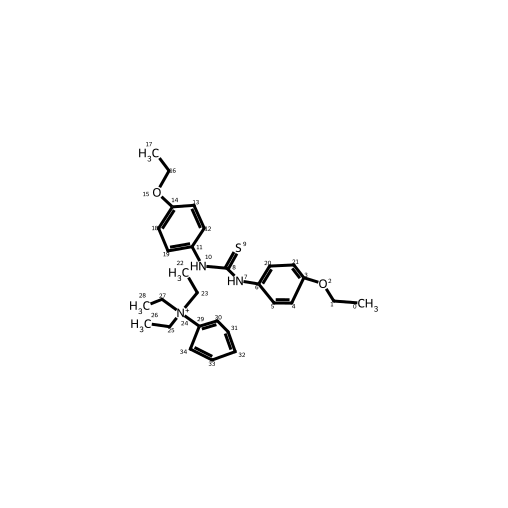 CCOc1ccc(NC(=S)Nc2ccc(OCC)cc2)cc1.CC[N+](CC)(CC)c1ccccc1